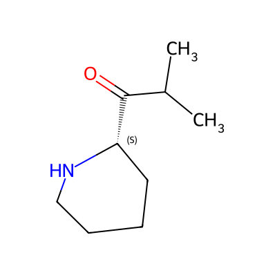 CC(C)C(=O)[C@@H]1CCCCN1